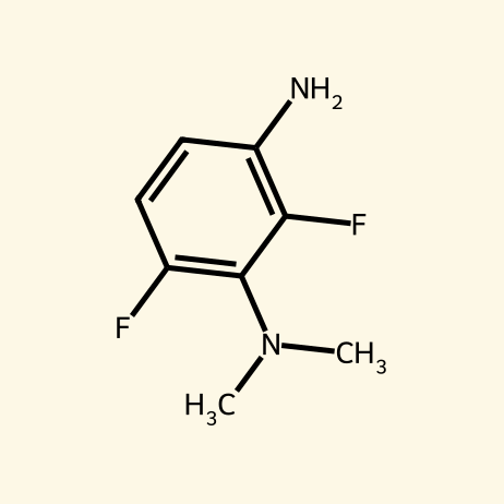 CN(C)c1c(F)ccc(N)c1F